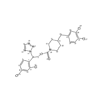 O=C(OCC(c1ccc(Cl)cc1Cl)n1ncnn1)N1CCC(Cc2ccc(Cl)c(Cl)c2)CC1